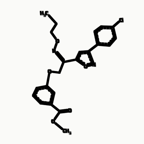 CCCON=C(COc1cccc(C(=O)OC)c1)c1cc(-c2ccc(Cl)cc2)no1